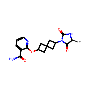 CC[C@@H]1NC(=O)N(C2CC3(CC(Oc4ncccc4C(N)=O)C3)C2)C1=O